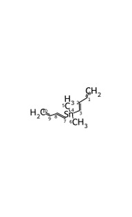 C=CC=[CH][Sn]([CH3])([CH3])[CH]=CC=C